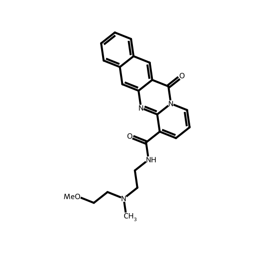 COCCN(C)CCNC(=O)c1cccn2c(=O)c3cc4ccccc4cc3nc12